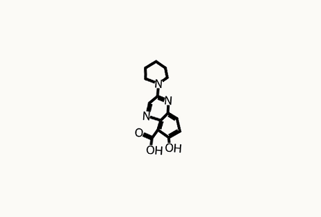 O=C(O)c1c(O)ccc2nc(N3CCCCC3)cnc12